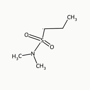 CC[CH]S(=O)(=O)N(C)C